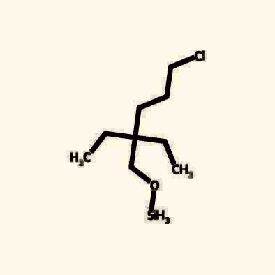 CCC(CC)(CCCCl)CO[SiH3]